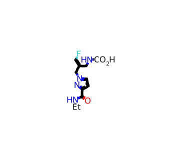 CCNC(=O)c1ccn(CC(=CF)CNC(=O)O)n1